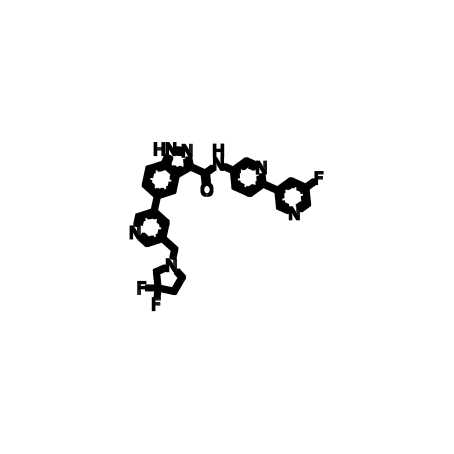 O=C(Nc1ccc(-c2cncc(F)c2)nc1)c1n[nH]c2ccc(-c3cncc(CN4CCC(F)(F)C4)c3)cc12